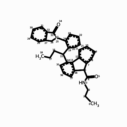 CCCNC(=O)C1c2ccccc2-c2c(C(CCC)c3ccccc3N3Cc4ccccc4C3=O)cccc21